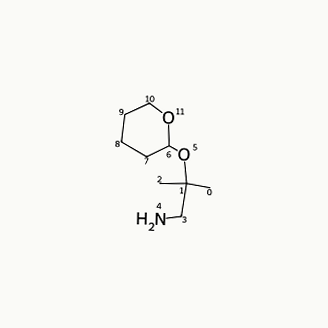 CC(C)(CN)OC1CCCCO1